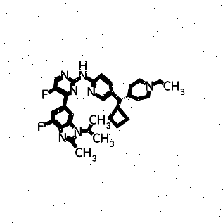 CCN1CCC([C@@H](c2ccc(Nc3ncc(F)c(-c4cc(F)c5nc(C)n(C(C)C)c5c4)n3)nc2)C2CCC2)CC1